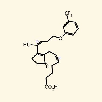 O=C(O)CCC/C=C\CC1=C(/C(O)=C\CCOc2cccc(C(F)(F)F)c2)CCC1=O